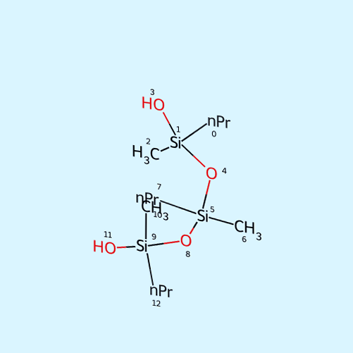 CCC[Si](C)(O)O[Si](C)(CCC)O[Si](C)(O)CCC